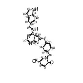 O=c1ccc(Cl)cn1Cc1ccc(Cn2cc3c(NCc4cnc5[nH]ccc5c4)ncnc3n2)cc1